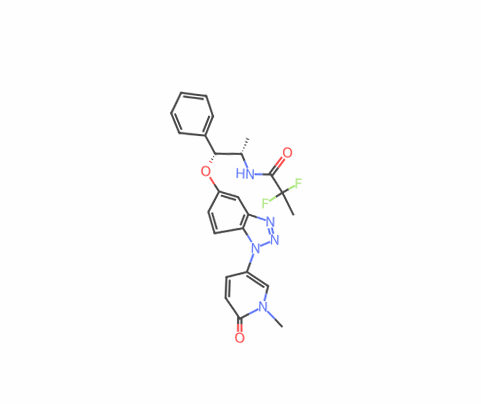 C[C@H](NC(=O)C(C)(F)F)[C@H](Oc1ccc2c(c1)nnn2-c1ccc(=O)n(C)c1)c1ccccc1